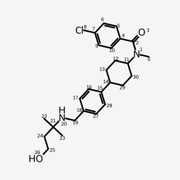 CN(C(=O)c1ccc(Cl)cc1)C1CCC(c2ccc(CNC(C)(C)CCO)cc2)CC1